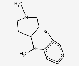 CN1CCC(N(C)c2ccccc2Br)CC1